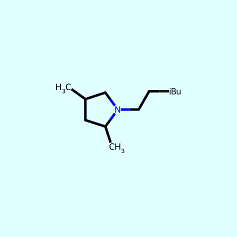 CCC(C)CCN1CC(C)CC1C